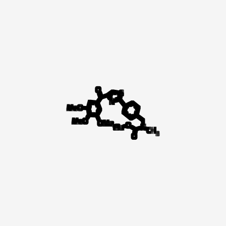 COc1cc(C(=O)c2csc(-c3ccc(CN(C)C(=O)OC(C)(C)C)cc3)n2)cc(OC)c1OC